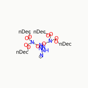 CCCCCCCCCCCCOC(=O)CCN(CCCOc1nc(NCCN2CCCC2)nc(OCCCN(CCC(=O)OCCCCCCCCCCCC)CCC(=O)OCCCCCCCCCCCC)n1)CCC(=O)OCCCCCCCCCCCC